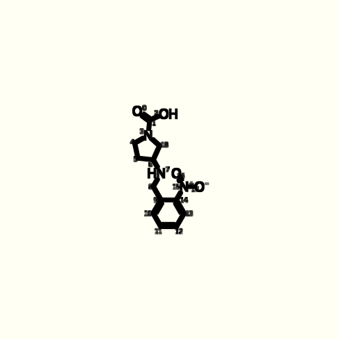 O=C(O)N1CCC(NCc2ccccc2[N+](=O)[O-])C1